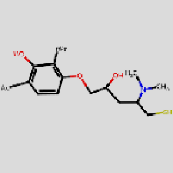 CCCc1c(OCC(O)CC(CS)N(C)C)ccc(C(C)=O)c1O